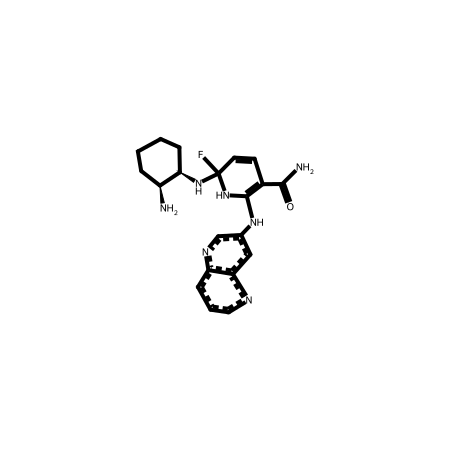 NC(=O)C1=C(Nc2cnc3cccnc3c2)NC(F)(N[C@@H]2CCCC[C@@H]2N)C=C1